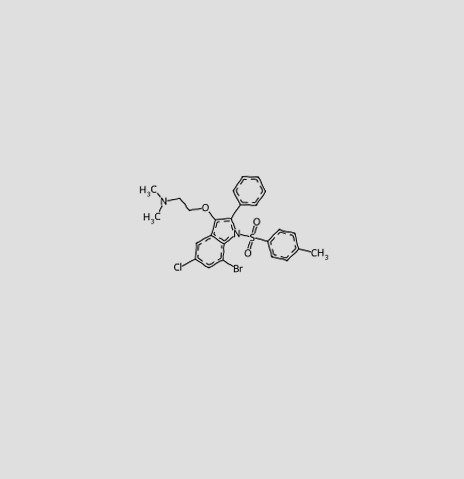 Cc1ccc(S(=O)(=O)n2c(-c3ccccc3)c(OCCN(C)C)c3cc(Cl)cc(Br)c32)cc1